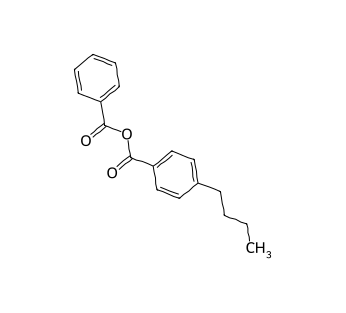 CCCCc1ccc(C(=O)OC(=O)c2ccccc2)cc1